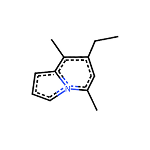 CCc1cc(C)n2cccc2c1C